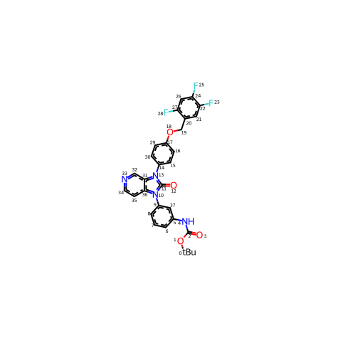 CC(C)(C)OC(=O)Nc1cccc(-n2c(=O)n(-c3ccc(OCc4cc(F)c(F)cc4F)cc3)c3cnccc32)c1